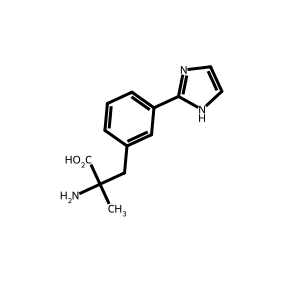 CC(N)(Cc1cccc(-c2ncc[nH]2)c1)C(=O)O